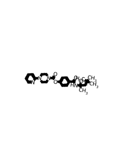 CC(C)(C)CC(C)(C)NC(=O)c1ccc(OC(=O)N2CCN(c3ccccn3)CC2)cc1